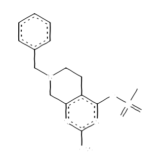 COc1nc2c(c(OS(C)(=O)=O)n1)CCN(Cc1ccccc1)C2